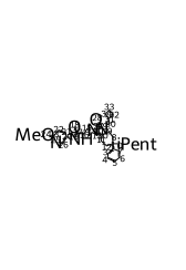 CCCC(C)C1(c2ccccc2)CCC2(CC1)CN(CCC(=O)Nc1ccc(OC)nc1)C(=O)N2CC1CCC1